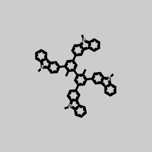 Cc1c(-c2ccc3c(c2)c2ccccc2n3C)cc(-c2ccc3c(c2)c2ccccc2n3C)cc1-c1cc(-c2ccc3c(c2)c2ccccc2n3C)cc(-c2ccc3c(c2)c2ccccc2n3C)c1C